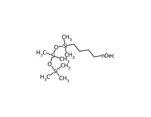 CCCCCCCCCCCCCC[Si](C)(C)O[Si](C)(C)O[Si](C)(C)C